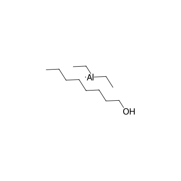 CCCCCCCCO.C[CH2][Al][CH2]C